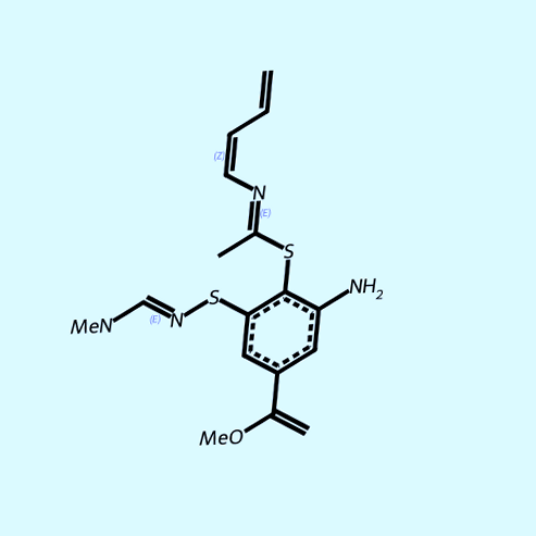 C=C/C=C\N=C(/C)Sc1c(N)cc(C(=C)OC)cc1S/N=C/NC